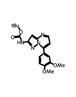 COc1ccc(-c2ccnc3cc(NC(=O)OC(C)(C)C)nn23)cc1OC